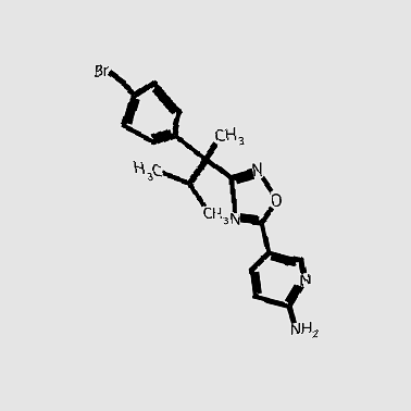 CC(C)C(C)(c1ccc(Br)cc1)c1noc(-c2ccc(N)nc2)n1